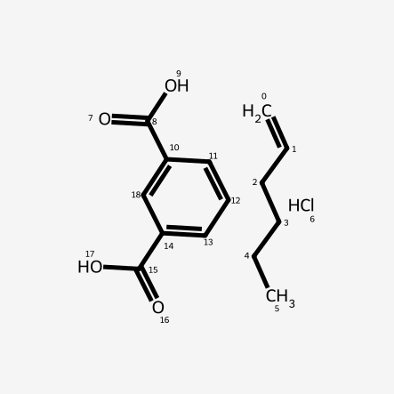 C=CCCCC.Cl.O=C(O)c1cccc(C(=O)O)c1